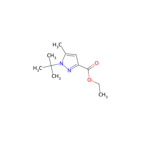 CCOC(=O)c1cc(C)n(C(C)(C)C)n1